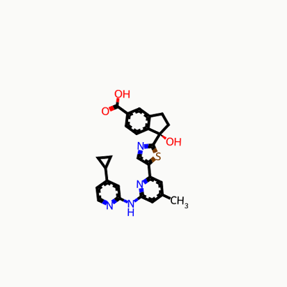 Cc1cc(Nc2cc(C3CC3)ccn2)nc(-c2cnc([C@@]3(O)CCc4cc(C(=O)O)ccc43)s2)c1